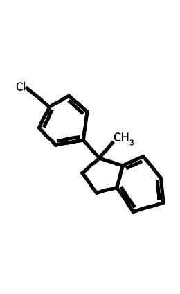 CC1(c2ccc(Cl)cc2)CCc2ccccc21